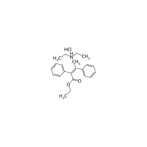 CCNCC.CCOC(=O)C(=C(C)c1ccccc1)c1ccccc1.Cl